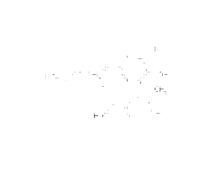 C=CC(=O)OC(C)C(=O)O.C=CC(=O)OC(C)C(=O)O.OCCO